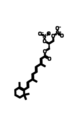 CC1=C(/C=C/C(C)=C/C=C/C(C)=C/C(=O)OC[C@H](CO[N+](=O)[O-])O[N+](=O)[O-])C(C)(C)CCC1